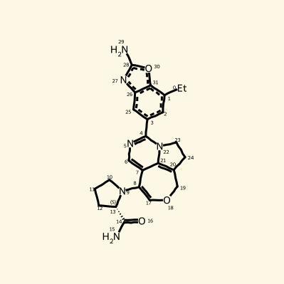 CCc1cc(C2=NC=C3C(N4CCC[C@H]4C(N)=O)=COCC4=C3N2CC4)cc2nc(N)oc12